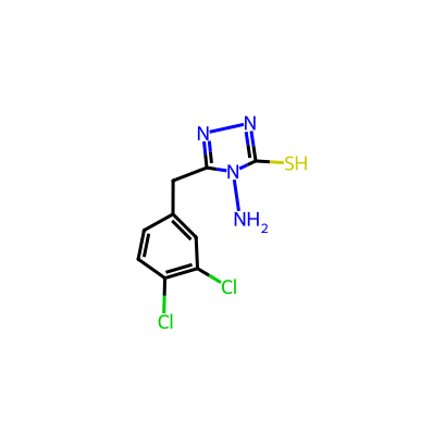 Nn1c(S)nnc1Cc1ccc(Cl)c(Cl)c1